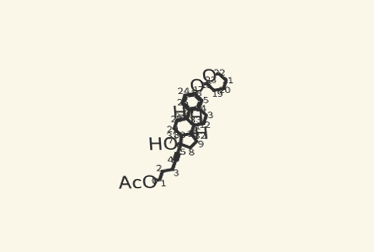 CC(=O)OCCCC#C[C@@]1(O)CC[C@H]2[C@@H]3CCc4cc(OC5CCCCO5)ccc4[C@H]3CC[C@@]21C